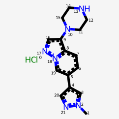 Cl.Cn1cc(-c2ccc3c(N4CCNCC4)cnn3c2)cn1